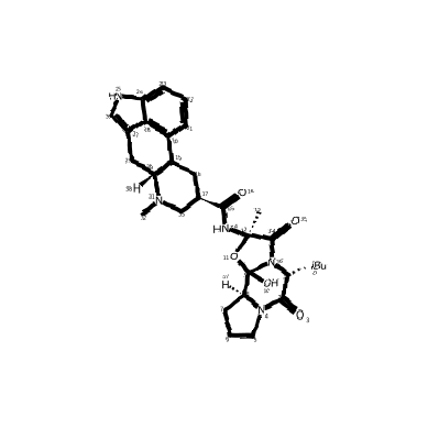 CC[C@@H](C)C1C(=O)N2CCC[C@H]2C2(O)O[C@@](C)(NC(=O)[C@@H]3CC4c5cccc6[nH]cc(c56)C[C@H]4N(C)C3)C(=O)N12